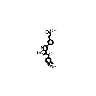 O=C(O)/C=C/c1cccc(-c2cnc3[nH]cc(C(=O)C4=CC5=CNSN5C=C4)c3c2)c1